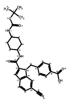 CC(C)(C)OC(=O)NC1CCC(NC(=O)c2cc3ccc(C#N)cc3n2Cc2ccc(C(=O)O)cc2)CC1